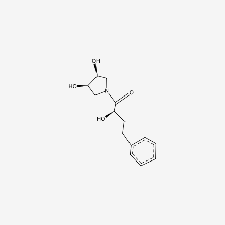 O=C([C@H](O)[CH]Cc1ccccc1)N1C[C@@H](O)[C@@H](O)C1